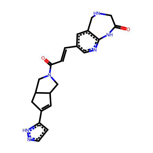 O=C1CNCc2cc(/C=C/C(=O)N3CC4C=C(c5ccn[nH]5)CC4C3)cnc2N1